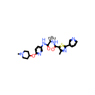 CCCCC(NC(=O)c1sc(-c2cccnc2)nc1C)C(=O)Nc1ccc(OC2CCN(C)CC2)nc1